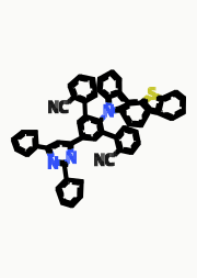 N#Cc1ccccc1-c1cc(-c2cc(-c3ccccc3)nc(-c3ccccc3)n2)cc(-c2ccccc2C#N)c1-n1c2ccccc2c2c3sc4ccccc4c3ccc21